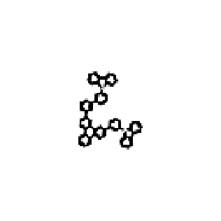 c1cc(-c2cccc(-n3c4ccccc4c4ccccc43)c2)cc(-c2ccc3c4ccccc4c4ccc(-c5cccc(-n6c7ccccc7c7ccccc76)c5)cc4c3c2)c1